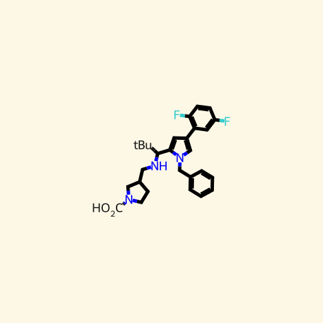 CC(C)(C)C(NCC1CCN(C(=O)O)C1)c1cc(-c2cc(F)ccc2F)cn1Cc1ccccc1